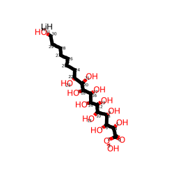 O=C(OO)C(O)C(O)C(O)C(O)C(O)C(O)C(O)C(O)C(O)C(O)CCCCCCCO.[LiH]